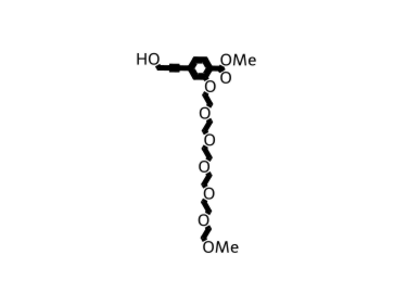 COCCOCCOCCOCCOCCOCCOc1cc(C#CCO)ccc1C(=O)OC